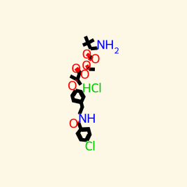 CC(OC(=O)OC(CN)C(C)(C)C)OC(=O)C(C)(C)Oc1ccc(CCNC(=O)c2ccc(Cl)cc2)cc1.Cl